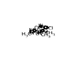 CC[C@@H](C(=O)Nc1ccc2ncc(C)nc2c1)n1cc(OC)c(-c2cc(Cl)ccc2-n2cc(Cl)nn2)cc1=O